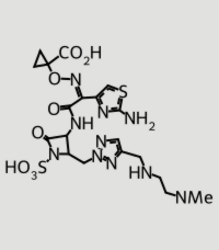 CNCCNCc1cnn(CC2C(NC(=O)/C(=N\OC3(C(=O)O)CC3)c3csc(N)n3)C(=O)N2S(=O)(=O)O)n1